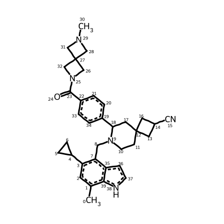 Cc1cc(C2CC2)c(CN2CCC3(CC(C#N)C3)CC2c2ccc(C(=O)N3CC4(CN(C)C4)C3)cc2)c2cc[nH]c12